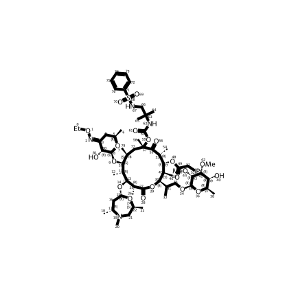 CCON=C1C[C@@H](C)O[C@@H](O[C@@H]2[C@@H](C)[C@H](O[C@H]3C[C@@H](C)N(C)C[C@H](C)O3)[C@@H](C)C(=O)O[C@H](C(C)CO[C@@H]3O[C@H](C)[C@@H](O)[C@@H](OC)[C@H]3OC)[C@H](C)[C@@H](OC(=O)CC(C)C)[C@@H](C)C(=O)[C@@](C)(OC(=O)NC(C)(C)CNS(=O)(=O)c3ccccc3)C[C@@H]2C)[C@@H]1O